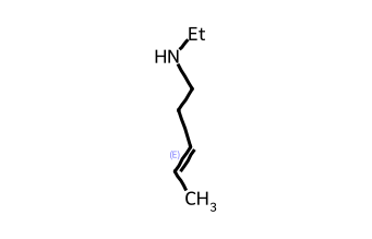 C/C=C/CCNCC